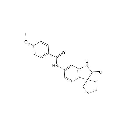 COc1ccc(C(=O)Nc2ccc3c(c2)NC(=O)C32CCCC2)cc1